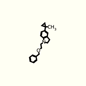 CC1(c2ccc3c(c2)CCN3CCOCc2ccccc2)CC1